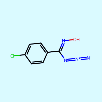 [N-]=[N+]=NC(=NO)c1ccc(Cl)cc1